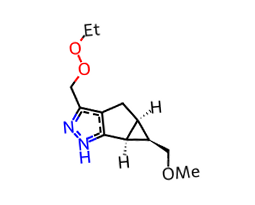 CCOOCc1n[nH]c2c1C[C@H]1[C@@H](COC)[C@@H]21